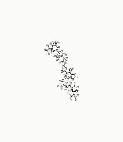 CC[C@H](C)[C@@H]([C@@H](CC(=O)N1CCCC1[C@H](OC)[C@@H](C)C(=O)NCC[C@H]1CC[C@]2(C)C3CCC4[C@H]5[C@H](C(C)C)CC[C@]5(CO)CC[C@@]4(C)[C@]3(C)CC[C@@]2(C)C1(C)C)OC)N(C)C(=O)[C@@H](NC(=O)[C@H](C(C)C)N(C)C)C(C)C